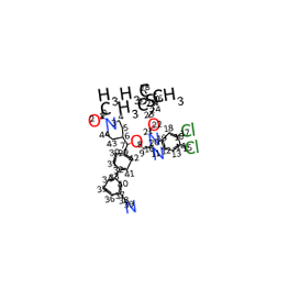 CC(=O)N1CCC(C(OCc2nc3cc(Cl)c(Cl)cc3n2COCC[Si](C)(C)C)c2ccc(-c3cccc(C#N)c3)cc2)CC1